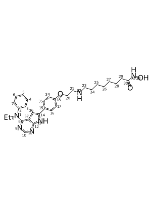 CCN(c1ccccc1)c1ncnc2[nH]c(-c3ccc(OCCNCCCCCCCC(=O)NO)cc3)cc12